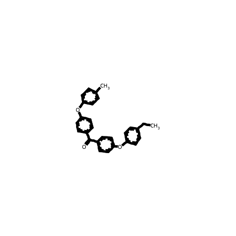 CCc1ccc(Oc2ccc(C(=O)c3ccc(Oc4ccc(C)cc4)cc3)cc2)cc1